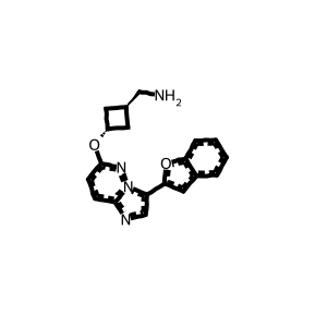 NC[C@H]1C[C@H](Oc2ccc3ncc(-c4cc5ccccc5o4)n3n2)C1